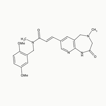 COc1ccc(OC)c(CN(C)C(=O)/C=C/c2cnc3c(c2)CN(C)CC(=O)N3)c1